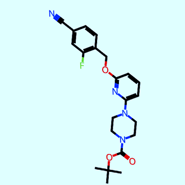 CC(C)(C)OC(=O)N1CCN(c2cccc(OCc3ccc(C#N)cc3F)n2)CC1